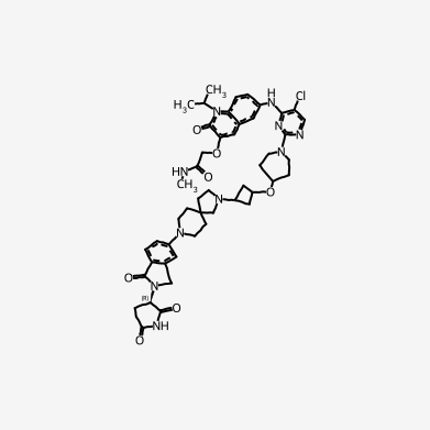 CNC(=O)COc1cc2cc(Nc3nc(N4CCC(OC5CC(N6CCC7(CCN(c8ccc9c(c8)CN([C@@H]8CCC(=O)NC8=O)C9=O)CC7)C6)C5)CC4)ncc3Cl)ccc2n(C(C)C)c1=O